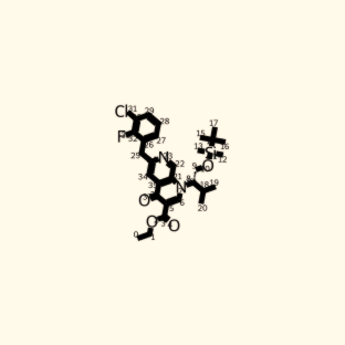 CCOC(=O)c1cn([C@H](CO[Si](C)(C)C(C)(C)C)C(C)C)c2cnc(Cc3cccc(Cl)c3F)cc2c1=O